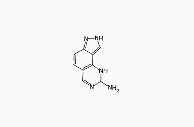 NC1N=Cc2ccc3n[nH]cc3c2N1